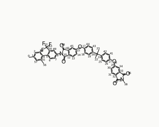 Cc1ccc(-c2ccc(N3C(=O)c4ccc(Oc5ccc(C(C)(C)c6ccc(Oc7ccc8c(c7)C(=O)N(C)C8=O)cc6)cc5)cc4C3=O)cc2C(F)(F)F)c(C)c1